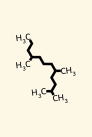 CCCC(C)CCCC(C)CCC(C)C